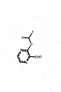 O=Cc1nccnc1OC(F)F